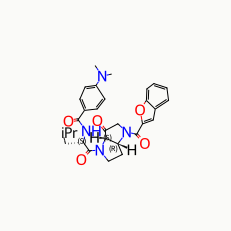 CC(C)C[C@H](NC(=O)c1ccc(N(C)C)cc1)C(=O)N1CC[C@@H]2[C@H]1C(=O)CN2C(=O)c1cc2ccccc2o1